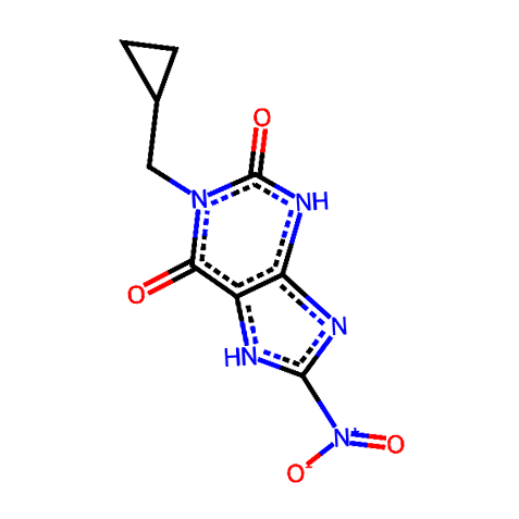 O=c1[nH]c2nc([N+](=O)[O-])[nH]c2c(=O)n1CC1CC1